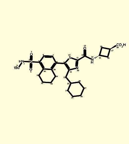 CC(C)(C)NS(=O)(=O)c1ccc(-c2sc(C(=O)N[C@H]3C[C@H](C(=O)O)C3)nc2CC2CCCCC2)c2c1CCCC2